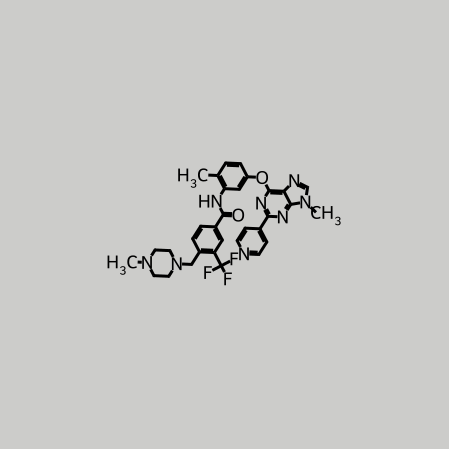 Cc1ccc(Oc2nc(-c3ccncc3)nc3c2ncn3C)cc1NC(=O)c1ccc(CN2CCN(C)CC2)c(C(F)(F)F)c1